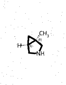 C[C@]12CNC[C@H]1C2